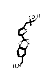 CC(C)(Cc1ccc(C(=O)Oc2ccc(CN)cc2F)s1)C(=O)O